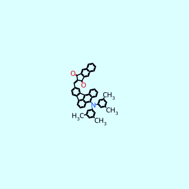 Cc1cc(C)cc(N(c2cc(C)cc(C)c2)c2c3ccccc3c3c4c(cccc24)-c2ccc(C=C4C(=O)c5cc6ccccc6cc5C4=O)cc2-3)c1